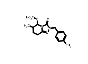 Cc1ccc(Cn2nc3n(c2=O)C(OC(=O)O)C(C)CC3)cc1